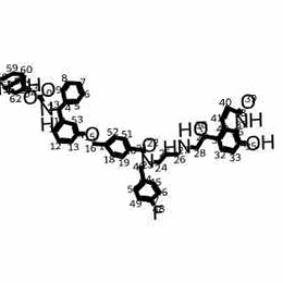 O=C(N[C@@H](c1ccccc1)c1cccc(OCc2ccc(C(=O)N(CCCNC[C@H](O)c3ccc(O)c4[nH]c(=O)ccc34)Cc3ccc(F)cc3)cc2)c1)O[C@H]1CN2CCC1CC2